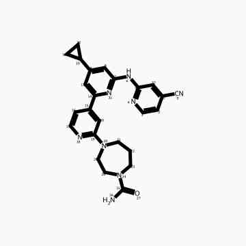 N#Cc1ccnc(Nc2cc(C3CC3)cc(-c3ccnc(N4CCCN(C(N)=O)CC4)c3)n2)c1